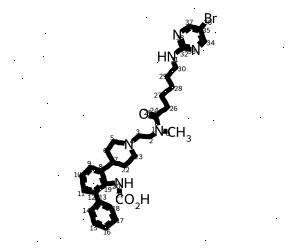 CN(CCN1CCC(c2cccc(-c3ccccc3)c2NC(=O)O)CC1)C(=O)CCCCCNc1ncc(Br)cn1